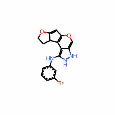 Brc1cccc(NC2=C3C(=COC4=C3C3CCOC3=C4)NN2)c1